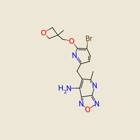 Cc1nc2nonc2c(N)c1Cc1ccc(Br)c(OCC2(C)COC2)n1